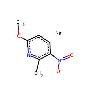 COc1ccc([N+](=O)[O-])c(C)n1.[Na]